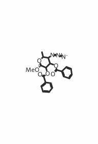 CO[C@H]1OC(C)C(N=[N+]=[N-])C(OC(=O)c2ccccc2)C1OC(=O)c1ccccc1